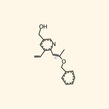 C=Cc1cc(CO)cnc1/C=C(\C)OCc1ccccc1